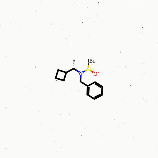 C[C@@H](C1CCC1)N(Cc1ccccc1)[S+]([O-])C(C)(C)C